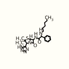 CCCCCCNC(C(=O)NC1C(=O)N2C(c3nnn[nH]3)C(C)(C)S[C@H]12)c1ccccc1